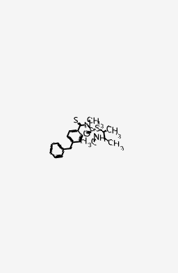 CCC(C)SP(=O)(NC)N(C)C(=S)c1ccc(Cc2ccccc2)cc1